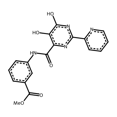 COC(=O)c1cccc(NC(=O)c2nc(-c3ccccn3)nc(O)c2O)c1